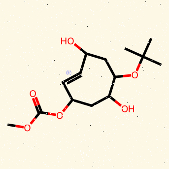 COC(=O)OC1/C=C/C(O)CC(OC(C)(C)C)C(O)C1